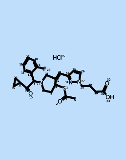 CC(=O)SC1CCN(C(C(=O)C2CC2)c2ccccc2F)CC1=Cc1ccn(CCCC(=O)O)n1.Cl